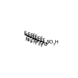 O=S(=O)(O)OC(F)(F)C(F)(F)C(F)(F)C(F)(F)C(F)(F)C(F)(F)C(F)(F)CF